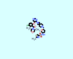 Cc1nc(S(=O)(=O)N[C@@H]2CC[C@@H](CN3CCC4(CC3)CN(c3ncncc3Oc3ccc(F)cc3C(=O)N3[C@H](C)COC[C@H]3C)C4)OC2)cs1